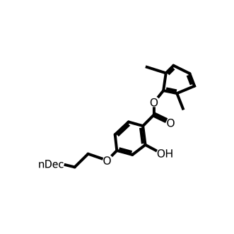 CCCCCCCCCCCCOc1ccc(C(=O)Oc2c(C)cccc2C)c(O)c1